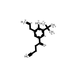 C#CCCC(=O)c1cc(CC=C)c(O)c(C(C)(C)C)c1